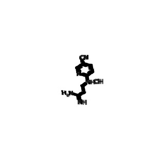 Cl.N#Cc1ccc(NCCC(=N)N)nc1